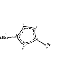 CCCc1ccc(C(C)(C)C)s1